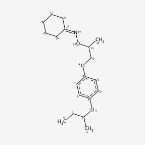 CCC(C)Oc1ccc(OCC(C)ON=C2CCCCC2)cc1